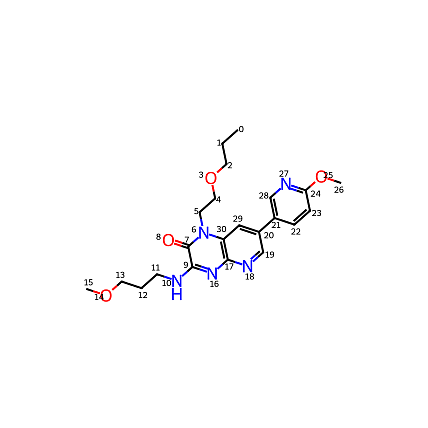 CCCOCCn1c(=O)c(NCCCOC)nc2ncc(-c3ccc(OC)nc3)cc21